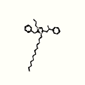 CCCCCCCCCCCCC[n+]1c(CC(C)c2ccccc2)cn(CCC)c1Cc1ccccc1